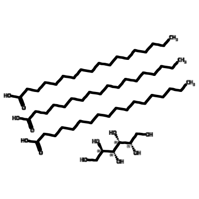 CCCCCCCCCCCCCCCCCC(=O)O.CCCCCCCCCCCCCCCCCC(=O)O.CCCCCCCCCCCCCCCCCC(=O)O.OC[C@@H](O)[C@@H](O)[C@H](O)[C@@H](O)CO